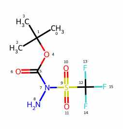 CC(C)(C)OC(=O)N(N)S(=O)(=O)C(F)(F)F